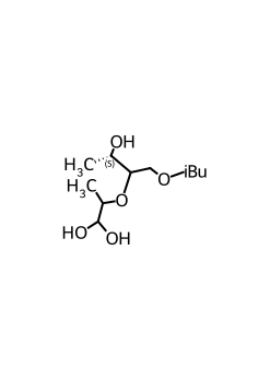 CCC(C)OCC(OC(C)C(O)O)[C@H](C)O